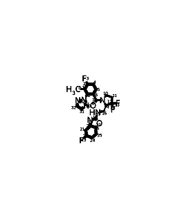 Cc1c(F)ccc(C(=O)N2CCC(F)(F)[C@H]2CNc2nc3cc(F)ccc3o2)c1-n1nccn1